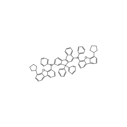 c1ccc(N(c2ccc3c(c2)C(c2ccccc2)(c2ccccc2)c2cc(N(c4ccccc4)c4cccc5c4oc4c(C6CCCC6)cccc45)c4ccccc4c2-3)c2cccc3c2oc2c(C4CCCC4)cccc23)cc1